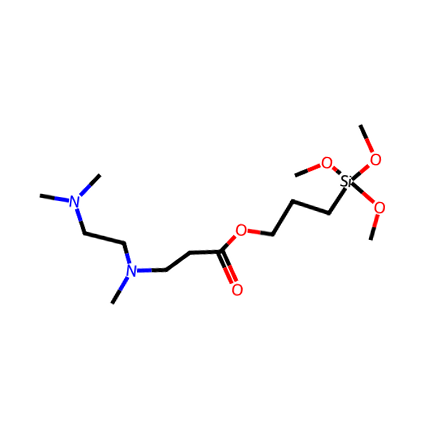 CO[Si](CCCOC(=O)CCN(C)CCN(C)C)(OC)OC